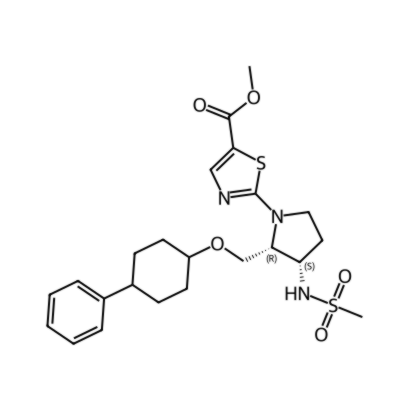 COC(=O)c1cnc(N2CC[C@H](NS(C)(=O)=O)[C@@H]2COC2CCC(c3ccccc3)CC2)s1